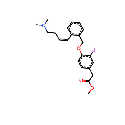 COC(=O)Cc1ccc(OCc2ccccc2/C=C\CCN(C)C)c(I)c1